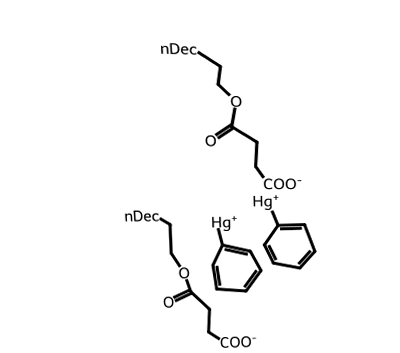 CCCCCCCCCCCCOC(=O)CCC(=O)[O-].CCCCCCCCCCCCOC(=O)CCC(=O)[O-].[Hg+][c]1ccccc1.[Hg+][c]1ccccc1